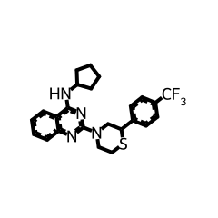 FC(F)(F)c1ccc(C2CN(c3nc(NC4CCCC4)c4ccccc4n3)CCS2)cc1